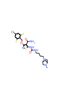 CN1CC2CC1CN2CCCCNC(=O)Nc1snc(OCc2c(F)cc(Cl)cc2F)c1C(N)=O